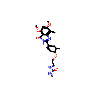 CNC(=O)NCCOc1ccc(-c2nc3c(C)c(OC)cc(OC)c3c(=O)[nH]2)cc1C